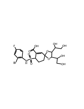 O=C(O)C1=CC2(CCC1S(=O)(=O)Nc1ccc(F)cc1Br)OC(C(O)CO)C(C(O)CO)O2